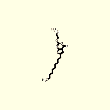 CCCCCCCCCCc1cc2c(=O)oc(OCCOC)nc2s1